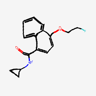 O=C(NC1CC1)c1ccc(OCCF)c2ccccc12